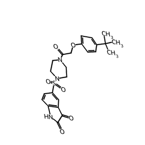 CC(C)(C)c1ccc(OCC(=O)N2CCN(S(=O)(=O)c3ccc4c(c3)C(=O)C(=O)N4)CC2)cc1